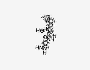 N=C1NCc2cc(NC(=O)[C@H](O)CC(=O)N(CCO)c3ccc4c(c3)N(CC3CC3)C(=O)CC4)ccc21